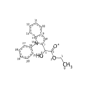 CCOC(=O)C(O)c1cc2ccccc2n1-c1ccccc1